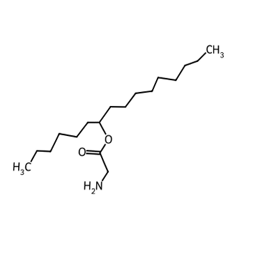 CCCCCCCCCC(CCCCCC)OC(=O)CN